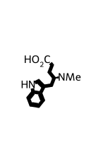 CN[C@H](CCC(=O)O)Cc1c[nH]c2ccccc12